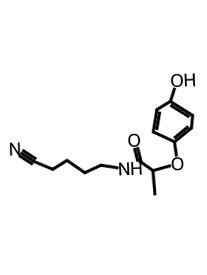 CC(Oc1ccc(O)cc1)C(=O)NCCCCC#N